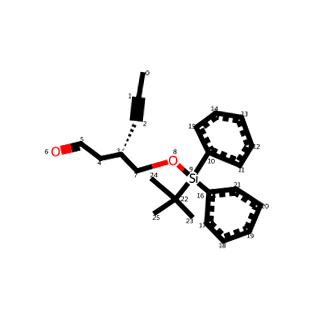 CC#C[C@@H](CC=O)CO[Si](c1ccccc1)(c1ccccc1)C(C)(C)C